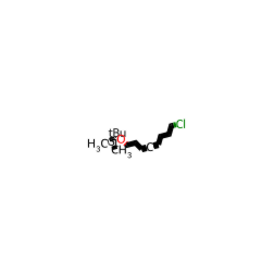 CC(C)(C)[Si](C)(C)OCCC=C=CCCCCl